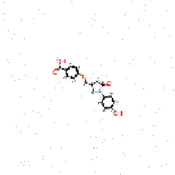 O=C(O)c1ccc(OCC2CC(=O)N(c3ccc(O)cc3)C2)cc1